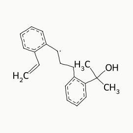 C=Cc1ccccc1[CH]CCc1ccccc1C(C)(C)O